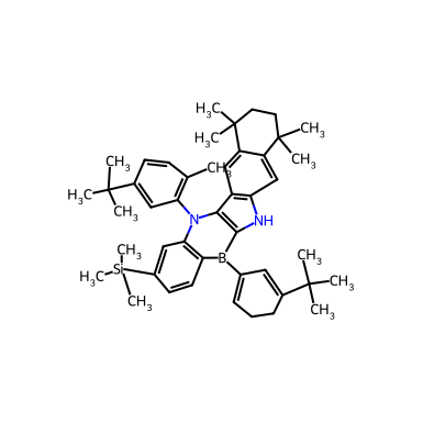 Cc1ccc(C(C)(C)C)cc1N1c2cc([Si](C)(C)C)ccc2B(C2=CCCC(C(C)(C)C)=C2)c2[nH]c3cc4c(cc3c21)C(C)(C)CCC4(C)C